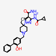 N#CCC1(n2cc(C(N)=O)c(NC(=O)C3CC3)n2)CCN(Cc2ccc(-c3ccccc3)c(O)c2)CC1